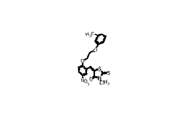 Cc1cccc(OCCOc2ccc([N+](=O)[O-])cc2C=C2SC(=S)N(C)C2=O)c1